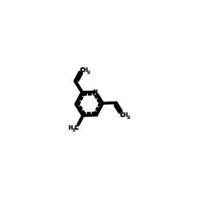 C=Cc1cc(C)cc(C=C)n1